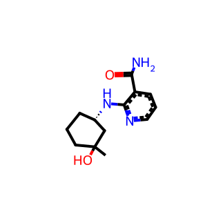 CC1(O)CCC[C@H](Nc2ncccc2C(N)=O)C1